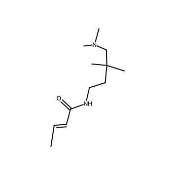 CC=CC(=O)NCCC(C)(C)CN(C)C